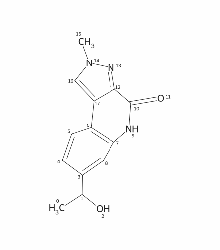 CC(O)c1ccc2c(c1)[nH]c(=O)c1nn(C)cc12